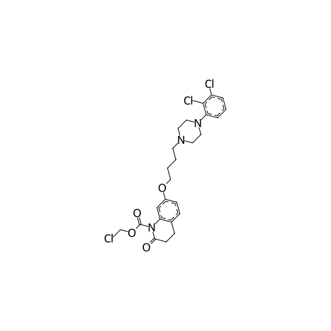 O=C1CCc2ccc(OCCCCN3CCN(c4cccc(Cl)c4Cl)CC3)cc2N1C(=O)OCCl